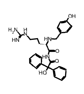 N=C(N)NCCC[C@H](NCc1ccc(O)cc1)C(=O)NC(=O)C(O)(c1ccccc1)c1ccccc1